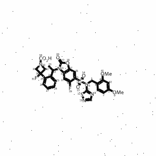 COc1ccc(CN(c2ncns2)S(=O)(=O)c2cc3oc(=O)n(C(C)c4ccccc4C4(F)CN(C(=O)O)C4)c3cc2F)c(OC)c1